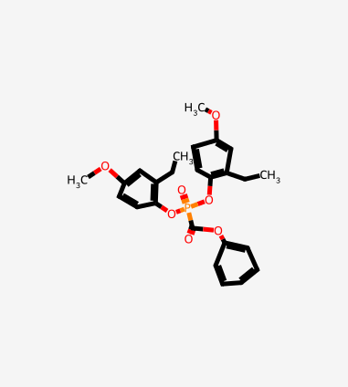 CCc1cc(OC)ccc1OP(=O)(Oc1ccc(OC)cc1CC)C(=O)Oc1ccccc1